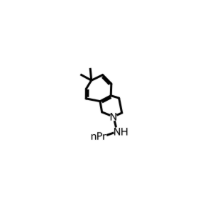 CCCNN1CCC2=C(C=CC(C)(C)C=C2)C1